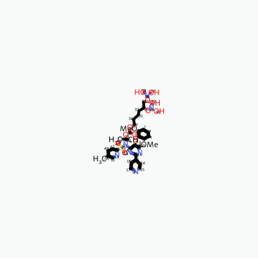 COc1ccccc1Oc1c(OC)nc(-c2ccncc2)nc1N(C(C)(C)OC(=O)OCCCCC(CON(O)O)ON(O)O)S(=O)(=O)c1ccc(C)cn1